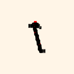 C=C(C)C(=O)O.C=COC(N)=O.OCCOCCOCCOCCOCCOCCOCCOCCOCCOCCO